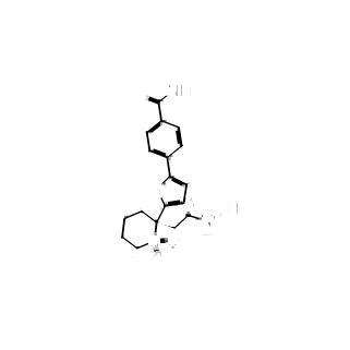 NC(=O)c1ccc(-c2ccc([C@@]3(CC(=O)NO)CCCCS3(=O)=O)s2)cc1